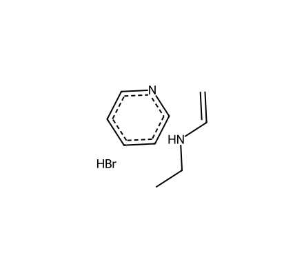 Br.C=CNCC.c1ccncc1